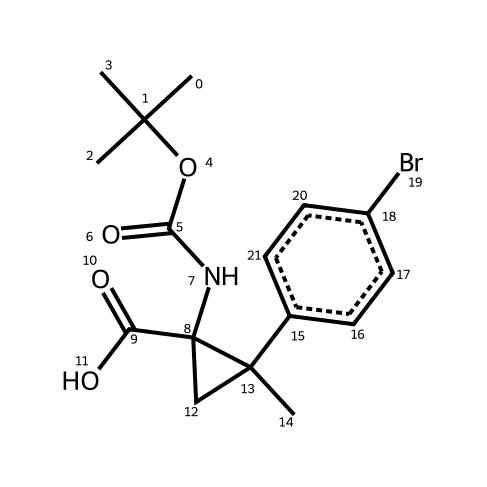 CC(C)(C)OC(=O)NC1(C(=O)O)CC1(C)c1ccc(Br)cc1